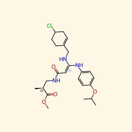 COC(=O)[C@@H](C)CNC(=O)/C=C(\NCC1=CCC(Cl)CC1)Nc1ccc(OC(C)C)cc1